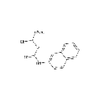 CCCCCC(CC)OC(=O)Nc1ccc2ccccc2c1